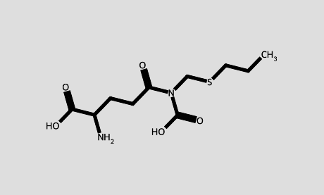 CCCSCN(C(=O)O)C(=O)CCC(N)C(=O)O